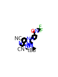 CC(C)(C)CNc1c(C#N)cnc2c(C#N)cc(NC(c3cccc(C(=O)N4CC(F)(F)C4)c3)c3cn(C4CC4)nn3)cc12